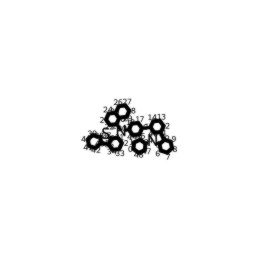 c1ccc(-n2c3ccccc3c3cccc(-c4ccc(N(c5cccc6ccccc56)c5cccc6c5sc5ccccc56)cc4)c32)cc1